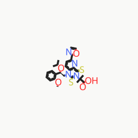 COc1ccccc1[C@H](Cn1c(=S)n(C(C)(C)C(=O)O)c(=S)c2nc(-c3ncco3)ccc21)OC(C)C